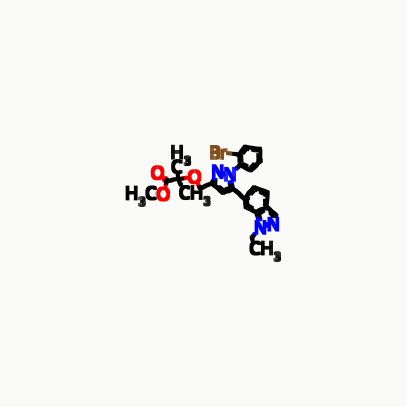 CCn1ncc2ccc(-c3cc(COC(C)(C)C(=O)OC)nn3-c3ccccc3Br)cc21